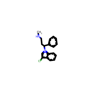 CNCCC(c1ccccc1)n1cc(Cl)c2ccccc21